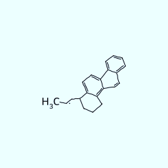 C[CH]CC1CCCc2c1ccc1c2ccc2ccccc21